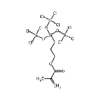 C=C(C)C(=O)OCCC[Si](O[Si](Cl)(Cl)Cl)(O[Si](Cl)(Cl)Cl)O[Si](Cl)(Cl)Cl